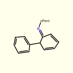 CCCCCN=C1C=CC=CC1c1ccccc1